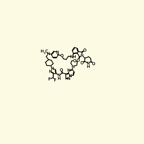 CN(CC1CCC(n2cc(NC(=O)c3cnn4ccc(N5CCOCC5)nc34)c(C(F)F)n2)CC1)c1ccc(OCCCNc2cccc3c2C(=O)N(C2CCC(=O)NC2=O)C3=O)nc1